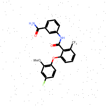 COc1cc(F)ccc1Oc1cccc(C(F)(F)F)c1C(=O)Nc1cccc(C(N)=O)c1